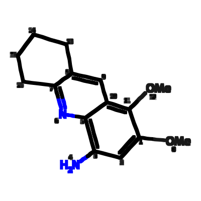 COc1cc(N)c2nc3c(cc2c1OC)CCCC3